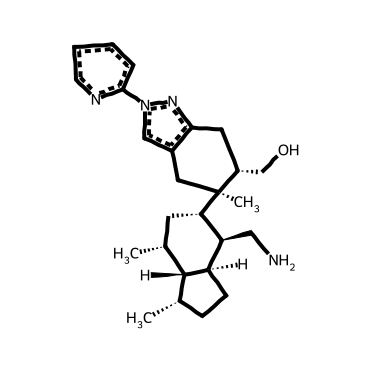 C[C@@H]1C[C@H]([C@@]2(C)Cc3cn(-c4ccccn4)nc3C[C@@H]2CO)[C@@H](CN)[C@H]2CC[C@H](C)[C@@H]21